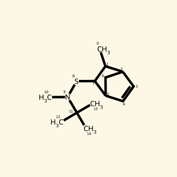 CC1C2C=CC(C2)C1SN(C)C(C)(C)C